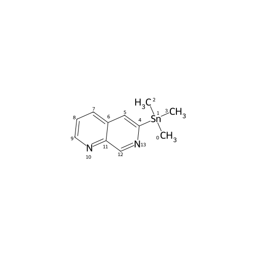 [CH3][Sn]([CH3])([CH3])[c]1cc2cccnc2cn1